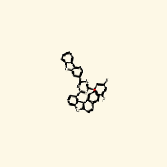 Fc1cc(F)cc(-c2nc(-c3ccc4c(c3)oc3ccccc34)nc(-c3cccc4oc5ccc6ccccc6c5c34)n2)c1